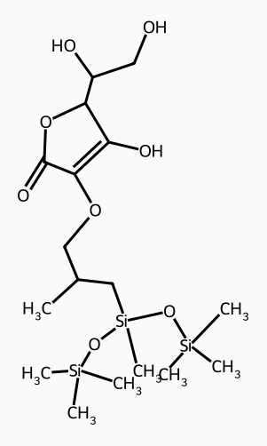 CC(COC1=C(O)C(C(O)CO)OC1=O)C[Si](C)(O[Si](C)(C)C)O[Si](C)(C)C